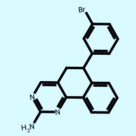 Nc1ncc2c(n1)-c1ccccc1C(c1cccc(Br)c1)C2